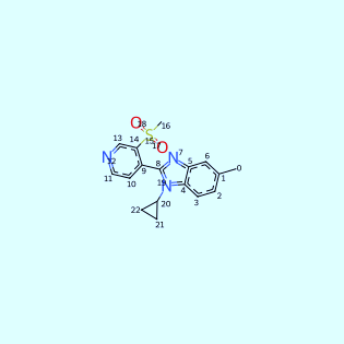 Cc1ccc2c(c1)nc(-c1ccncc1S(C)(=O)=O)n2C1CC1